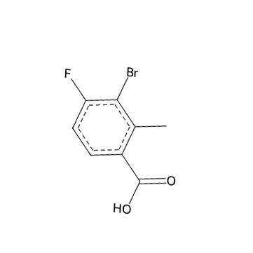 Cc1c(C(=O)O)ccc(F)c1Br